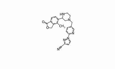 Cc1c(C2CN(Cc3ccc(-n4ccc(C#N)n4)nc3)CCN2)ccc2c1COC2=O